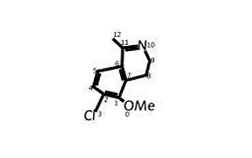 COc1c(Cl)ccc2c1CCN=C2C